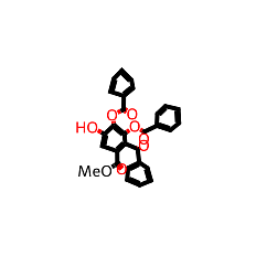 COC(=O)c1cc(O)c(OC(=O)c2ccccc2)c(OC(=O)c2ccccc2)c1C(=O)c1ccccc1